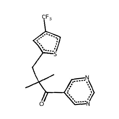 CC(C)(Cc1cc(C(F)(F)F)cs1)C(=O)c1cncnc1